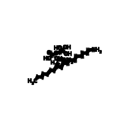 CCCCCCCCCCCCCCCCCCN.CCN.O=P(O)(O)OCC(O)(O)O